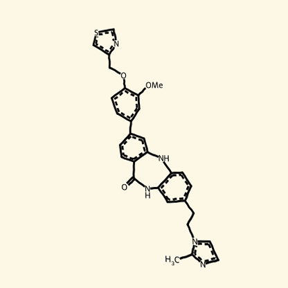 COc1cc(-c2ccc3c(c2)Nc2ccc(CCn4ccnc4C)cc2NC3=O)ccc1OCc1cscn1